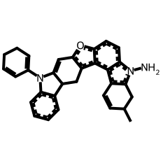 CC1C=Cc2c(n(N)c3ccc4oc5c(c4c23)CC2C(=C5)N(C3=CCCC=C3)c3ccccc32)C1